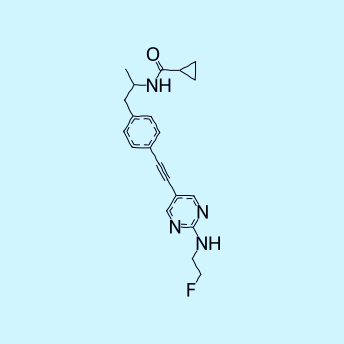 CC(Cc1ccc(C#Cc2cnc(NCCF)nc2)cc1)NC(=O)C1CC1